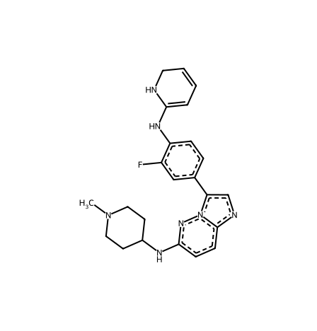 CN1CCC(Nc2ccc3ncc(-c4ccc(NC5=CC=CCN5)c(F)c4)n3n2)CC1